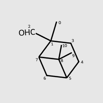 CC1(C=O)CCC2CC1C2(C)C